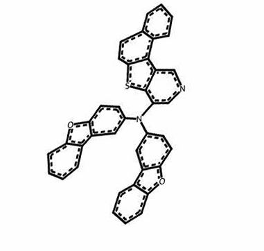 c1ccc2c(c1)ccc1sc3c(N(c4ccc5oc6ccccc6c5c4)c4ccc5oc6ccccc6c5c4)cncc3c12